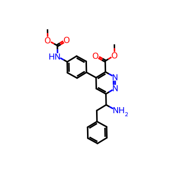 COC(=O)Nc1ccc(-c2cc(C(N)Cc3ccccc3)nnc2C(=O)OC)cc1